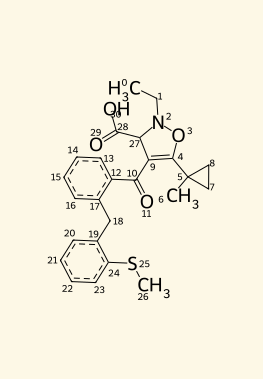 CCN1OC(C2(C)CC2)=C(C(=O)c2ccccc2Cc2ccccc2SC)C1C(=O)O